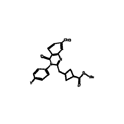 CC(C)(C)OC(=O)C1CC(Cc2nc3cc(C=O)ccc3c(=O)n2-c2ccc(F)cc2)C1